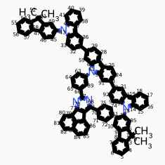 CC1(C)c2ccccc2-c2ccc(-n3c4ccccc4c4cc(-c5ccc6c7ccc(-c8ccc9c(c8)c8ccccc8n9-c8ccc9c(c8)C(C)(C)c8ccccc8-9)cc7n(-c7cccc(-c8nc(-c9ccccc9)c9c(n8)-c8cccc%10cccc-9c8%10)c7)c6c5)ccc43)cc21